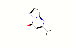 BC(C)c1cc(=O)n2c(C)csc2n1